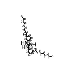 CCCCCCCCOc1cccc(NC(=N)Nc2cccc(OCCCCCCCC)c2)c1